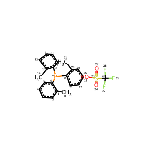 Cc1ccccc1P(c1ccccc1C)c1ccccc1C.O=S(=O)(O)C(F)(F)F